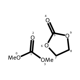 COC(=O)OC.O=C1OCCO1